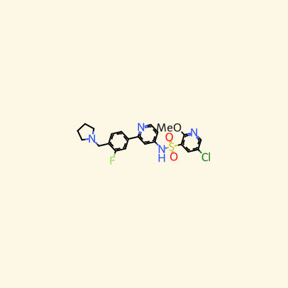 COc1ncc(Cl)cc1S(=O)(=O)Nc1ccnc(-c2ccc(CN3CCCC3)c(F)c2)c1